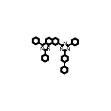 c1ccc(-c2ccc(-c3nc(-c4ccccc4)nc(-c4ccc5ccc6c(-c7ccccc7)nc(-c7ccccc7)nc6c5c4)n3)cc2)cc1